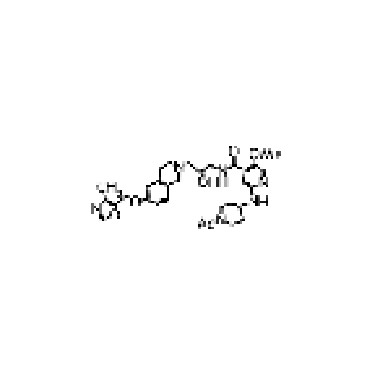 COc1cnc(NC2CCN(C(C)=O)CC2)cc1C(=O)NC[C@H](O)CN1CCc2cc(OCc3ocnc3C)ccc2C1